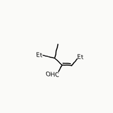 CCC=C(C=O)C(C)CC